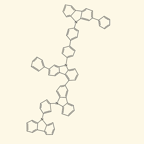 c1ccc(-c2ccc3c4ccccc4n(-c4ccc(-c5ccc(-n6c7cc(-c8ccccc8)ccc7c7c(-c8ccc9c(c8)c8ccccc8n9-c8cccc(-n9c%10ccccc%10c%10ccccc%109)c8)cccc76)cc5)cc4)c3c2)cc1